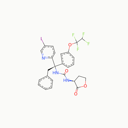 O=C(N[C@H]1CCOC1=O)N[C@@](Cc1ccccc1)(c1cccc(OC(F)(F)C(F)F)c1)c1ccc(I)cn1